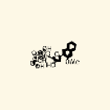 COc1cc2ccccc2cc1[C@H]1C[C@H](O)[C@@H](COP(=O)(O)OP(=O)(O)OP(=O)(O)O)O1